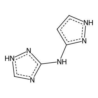 c1cc(Nc2nc[nH]n2)n[nH]1